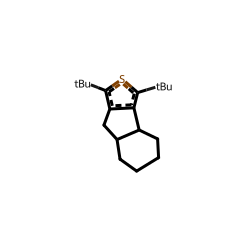 CC(C)(C)c1sc(C(C)(C)C)c2c1CC1CCCCC21